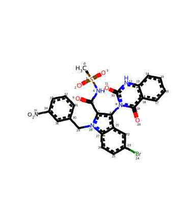 CS(=O)(=O)NC(=O)c1c(-n2c(=O)[nH]c3ccccc3c2=O)c2cc(Br)ccc2n1Cc1cccc([N+](=O)[O-])c1